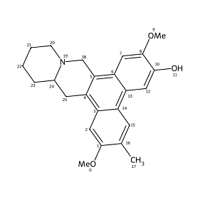 COc1cc2c3c(c4cc(OC)c(O)cc4c2cc1C)CN1CCCCC1C3